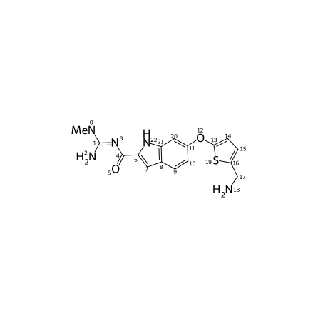 CNC(N)=NC(=O)c1cc2ccc(Oc3ccc(CN)s3)cc2[nH]1